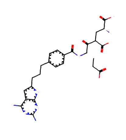 Nc1nc(N)c2cc(CCCc3ccc(C(=O)N[C@@H](CCC(=O)O)C(=O)C(C[C@H](N)C(=O)O)C(=O)O)cc3)[nH]c2n1